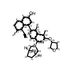 C#Cc1c(F)ccc2cc(O)cc(-c3ncc4c(N5C[C@H]6CC[C@@H](C5)N6)nc(OC5CCOC5)c(C)c4c3F)c12